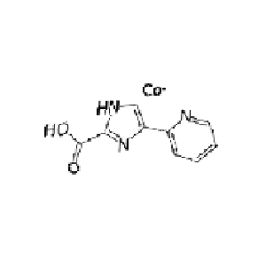 O=C(O)c1nc(-c2ccccn2)c[nH]1.[Co]